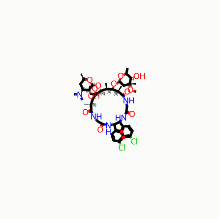 COC1(C)C[C@@H](C)C(=O)NCC(=O)NC(c2ccc(Cl)cc2)C(c2ccc(Cl)cc2)NC(=O)CNC(=O)[C@H](C)C(O[C@H]2C[C@@](C)(OC)[C@@H](O)C(C)O2)[C@H](C)[C@H]1O[C@@H]1O[C@H](C)C[C@H](N(C)C)[C@H]1O